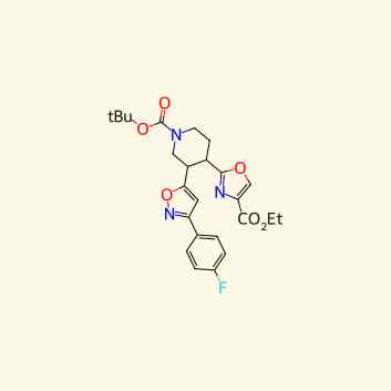 CCOC(=O)c1coc(C2CCN(C(=O)OC(C)(C)C)CC2c2cc(-c3ccc(F)cc3)no2)n1